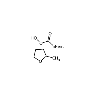 CC1CCCO1.CCCCCC(=O)OO